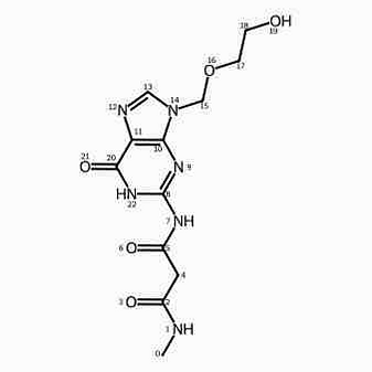 CNC(=O)CC(=O)Nc1nc2c(ncn2COCCO)c(=O)[nH]1